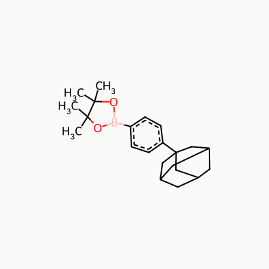 CC1(C)OB(c2ccc(C34CC5CC(CC(C5)C3)C4)cc2)OC1(C)C